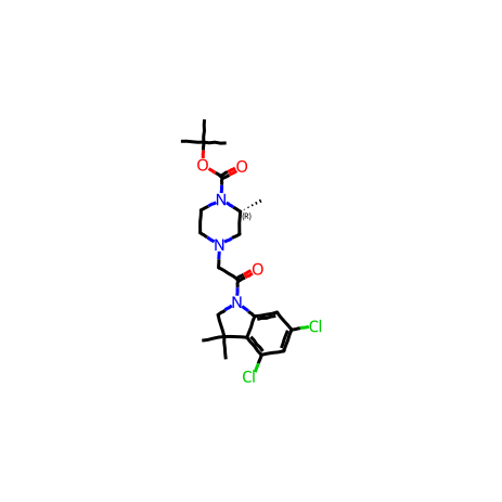 C[C@@H]1CN(CC(=O)N2CC(C)(C)c3c(Cl)cc(Cl)cc32)CCN1C(=O)OC(C)(C)C